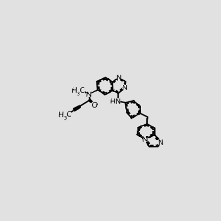 CC#CC(=O)N(C)c1ccc2ncnc(Nc3ccc(Cc4ccn5ccnc5c4)cc3)c2c1